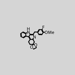 COc1ccc(Cc2nc3c(c4c2[nH]c2ccccc24)CCC2(C3)OCCO2)cc1F